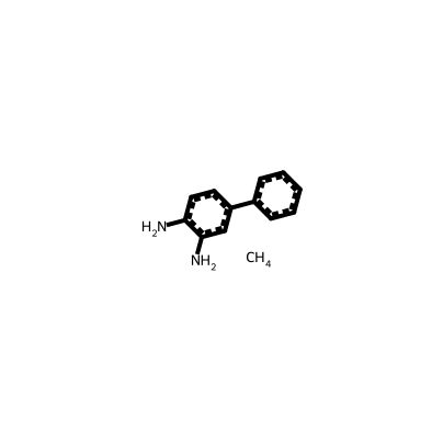 C.Nc1ccc(-c2ccccc2)cc1N